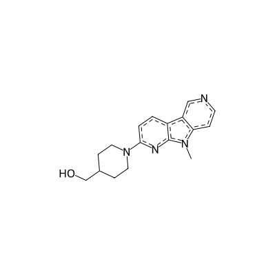 Cn1c2ccncc2c2ccc(N3CCC(CO)CC3)nc21